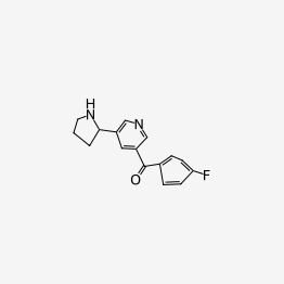 O=C(c1ccc(F)cc1)c1cncc(C2CCCN2)c1